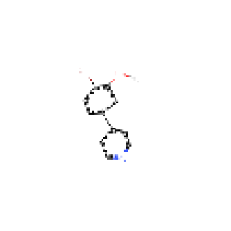 COc1cc(-c2ccncc2)ccc1Br